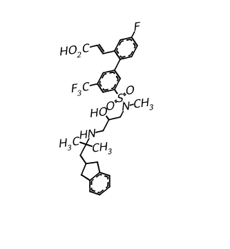 CN(CC(O)CNC(C)(C)CC1Cc2ccccc2C1)S(=O)(=O)c1cc(-c2ccc(F)cc2C=CC(=O)O)cc(C(F)(F)F)c1